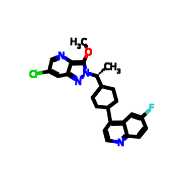 COc1c2ncc(Cl)cc2nn1[C@H](C)C1CCC(c2ccnc3ccc(F)cc23)CC1